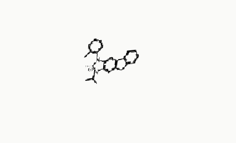 Cc1ccccc1N1c2cc3c(cc2N(C(C)C)[C@@H]1C)Cc1ccccc1-3